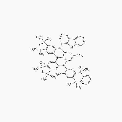 Cc1cc2c3c(c1)N(c1cccc4c1oc1ccccc14)c1cc4c(cc1B3c1cc3c(cc1N2c1cc2c(cc1C)C(C)(C)c1ccccc1C2(C)C)C(C)(C)CC3(C)C)C(C)(C)CC4(C)C